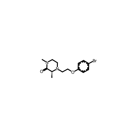 C[C@H]1C(=O)N(C)CCN1CCOc1ccc(Br)cc1